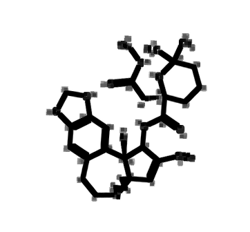 COC1=CC23CCCN2CCc2cc4c(cc2[C@@H]3C1OC(=O)[C@]1(CC(=O)SC(C)(C)C)CCCC(C)(C)O1)OCO4